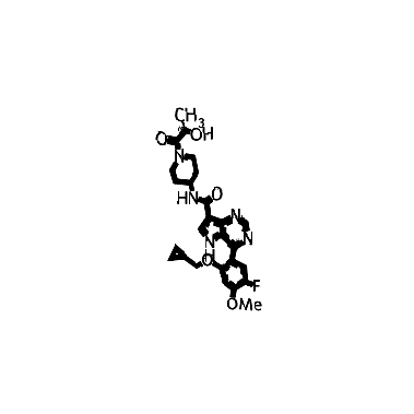 COc1cc(OCC2CC2)c(-c2ncnc3c(C(=O)NC4CCN(C(=O)[C@H](C)O)CC4)c[nH]c23)cc1F